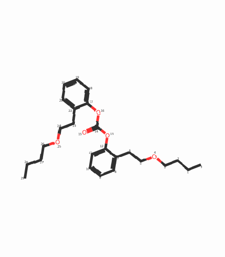 CCCCOCCc1ccccc1OC(=O)Oc1ccccc1CCOCCCC